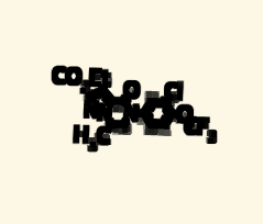 CCOC(=O)c1cnn2c1C(=O)N(c1ccc(OC(F)(F)F)c(Cl)c1)C[C@@H]2C